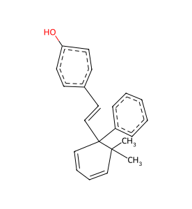 CC1(C)C=CC=CC1(C=Cc1ccc(O)cc1)c1ccccc1